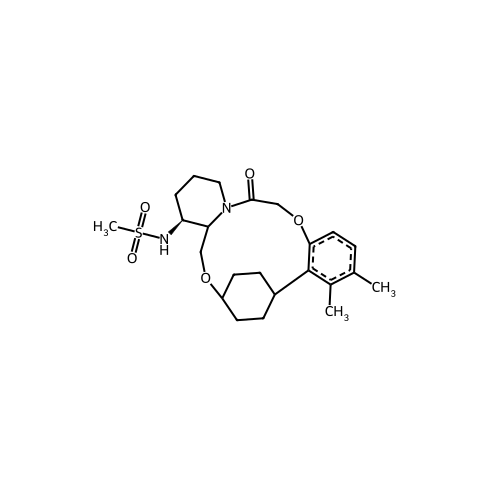 Cc1ccc2c(c1C)C1CCC(CC1)OCC1[C@@H](NS(C)(=O)=O)CCCN1C(=O)CO2